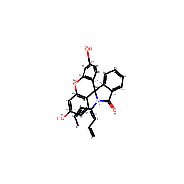 C=C/C=C(\C=C/C)N1C(=O)c2ccccc2C12c1ccc(O)cc1Oc1cc(O)ccc12